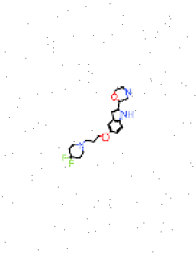 FC1(F)CCN(CCCOc2ccc3[nH]c(C4C[N]CCO4)cc3c2)CC1